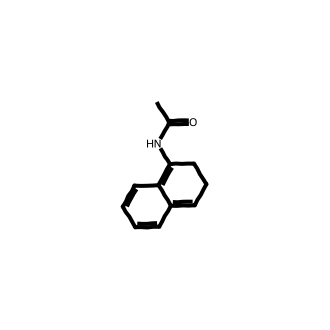 CC(=O)NC1=c2ccccc2=CCC1